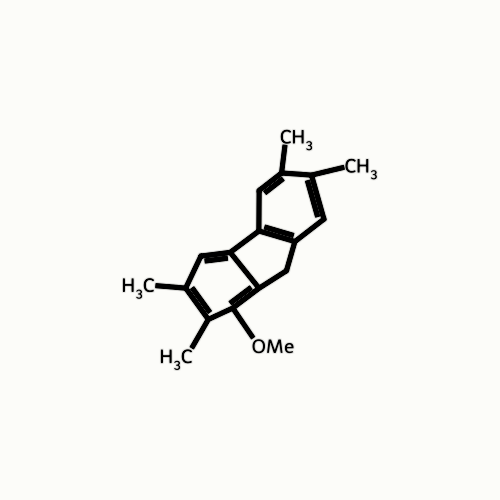 COc1c(C)c(C)cc2c1Cc1cc(C)c(C)cc1-2